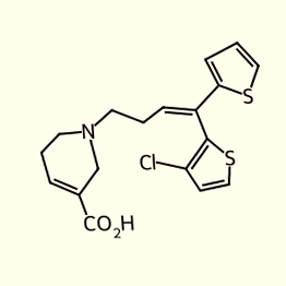 O=C(O)C1=CCCN(CCC=C(c2cccs2)c2sccc2Cl)C1